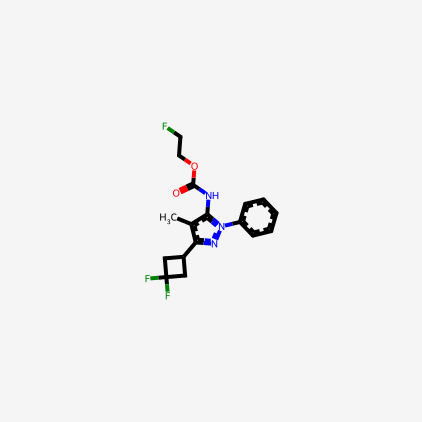 Cc1c(C2CC(F)(F)C2)nn(-c2ccccc2)c1NC(=O)OCCF